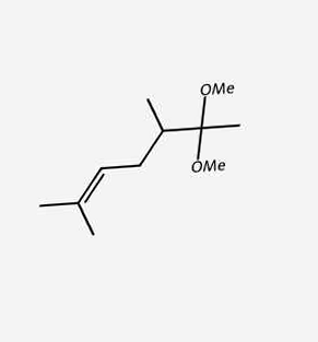 COC(C)(OC)C(C)CC=C(C)C